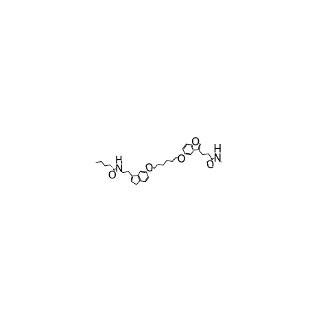 CCCCC(=O)NCCC1=CCc2ccc(OCCCCCCOc3ccc4occ(CCC(=O)NC)c4c3)cc21